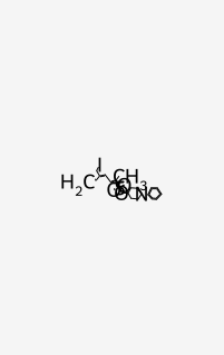 C=C/C(=C\C=C(/C)S(=O)(=O)OC1CCN(c2ccccc2)CC1)CI